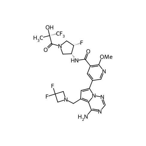 COc1ncc(-c2cc(CN3CC(F)(F)C3)c3c(N)ncnn23)cc1C(=O)N[C@@H]1CN(C(=O)[C@@](C)(O)C(F)(F)F)C[C@@H]1F